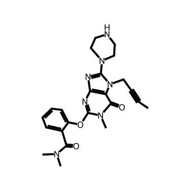 CC#CCn1c(N2CCNCC2)nc2nc(Oc3ccccc3C(=O)N(C)C)n(C)c(=O)c21